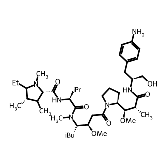 CCC1[C@@H](C)C(C)[C@@H](C(=O)N[C@H](C(=O)N(C)C([C@@H](C)CC)[C@@H](CC(=O)N2CCC[C@H]2[C@H](OC)[C@@H](C)C(=O)N[C@H](CO)Cc2ccc(N)cc2)OC)C(C)C)N1C